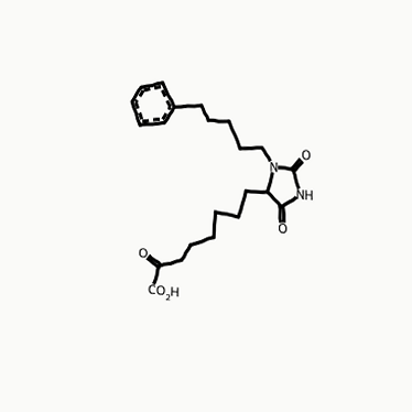 O=C(O)C(=O)CCCCCCC1C(=O)NC(=O)N1CCCCCc1ccccc1